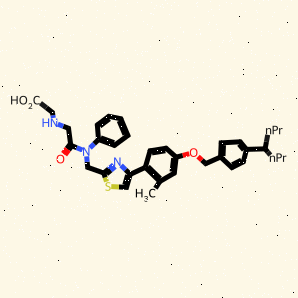 CCCC(CCC)c1ccc(COc2ccc(-c3csc(CN(C(=O)CNCC(=O)O)c4ccccc4)n3)c(C)c2)cc1